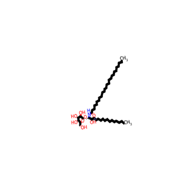 CCCCCCCCCCCCC/C=C/[C@@H](O)[C@H](CO[C@@H]1OC(CO)[C@H](O)[C@H](O)C1O)NC(=O)CCCCCCCCCCCCCCCCCCCCCCCCC